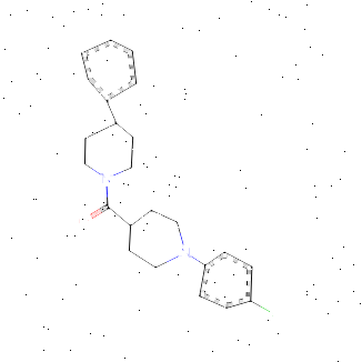 O=C(C1CCN(c2ccc(Cl)cc2)CC1)N1CCC(c2ccccc2)CC1